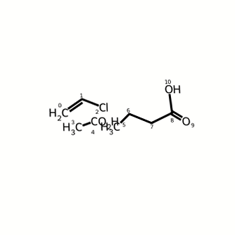 C=CCl.CC(=O)O.CCCC(=O)O